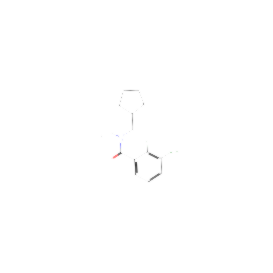 CN(CC1CCCC1)C(=O)c1cccc(Br)c1F